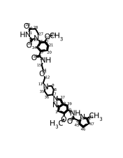 COc1cc2nn(C3CCN(CCOCCNC(=O)c4ccc(OC)c(N5CCC(=O)NC5=O)c4)CC3)cc2cc1NC(=O)c1cccc(C)n1